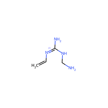 C=C/N=C(/N)NCN